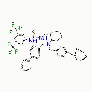 FC(F)(F)c1cc(NC(=S)NC[C@@H]2CCCC[C@H]2N(Cc2ccc(-c3ccccc3)cc2)Cc2ccc(-c3ccccc3)cc2)cc(C(F)(F)F)c1